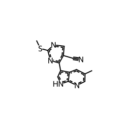 CSc1ncc(C#N)c(-c2c[nH]c3ncc(C)cc23)n1